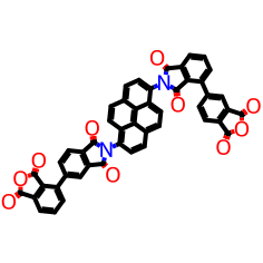 O=C1OC(=O)c2cc(-c3cccc4c3C(=O)N(c3ccc5ccc6c(N7C(=O)c8ccc(-c9cccc%10c9C(=O)OC%10=O)cc8C7=O)ccc7ccc3c5c76)C4=O)ccc21